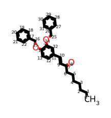 CCCCCCCC(=O)C=Cc1ccc(OCc2ccccc2)c(OCc2ccccc2)c1